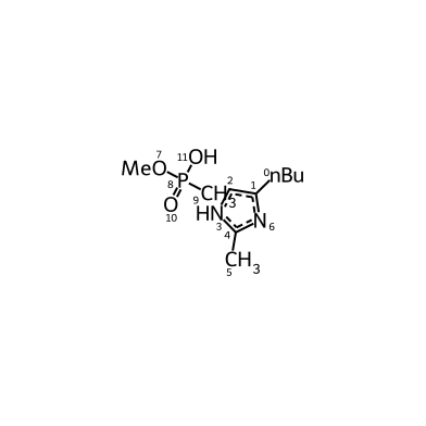 CCCCc1c[nH]c(C)n1.COP(C)(=O)O